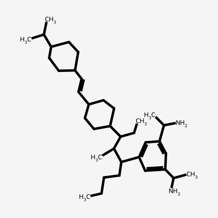 CCCCC(c1cc(C(C)N)cc(C(C)N)c1)C(C)C(CC)C1CCC(/C=C/C2CCC(C(C)C)CC2)CC1